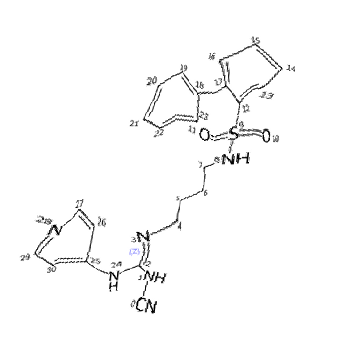 N#CN/C(=N\CCCCNS(=O)(=O)c1ccccc1-c1ccccc1)Nc1ccncc1